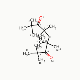 CC(C)(C)C(=O)C(C)(C)CC(C)(C)C(=O)C(C)(C)C